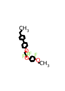 CCCc1ccc(-c2ccc(OCC(F)(F)Oc3ccc(OCC)c(F)c3F)cc2)cc1